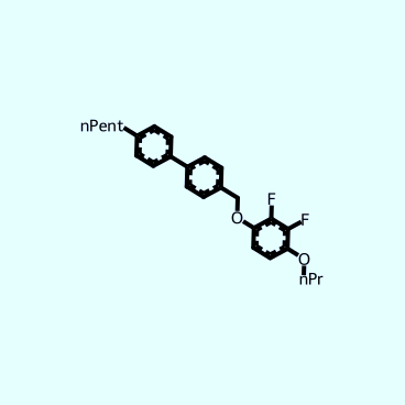 CCCCCc1ccc(-c2ccc(COc3ccc(OCCC)c(F)c3F)cc2)cc1